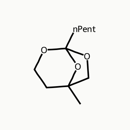 CCCCCC12OCCC(C)(CO1)O2